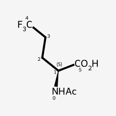 CC(=O)N[C@@H](CCC(F)(F)F)C(=O)O